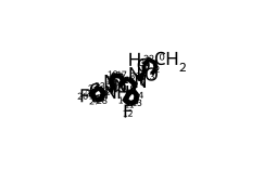 C=C1COC(c2nc(-c3ccc(F)cc3)c(-c3ccnc(Nc4ccc(F)cc4)n3)[nH]2)OC1